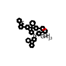 Cc1ccccc1-c1ccc(N(c2ccc3c(c2)C2(CCCCC2)c2ccccc2-3)c2ccc3c(c2)C(C2=CC=CC#CC2)(c2ccc(-c4ccccc4)cc2)c2ccc(-c4cccc5c4sc4ccccc45)cc2-3)cc1C